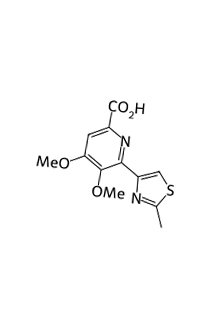 COc1cc(C(=O)O)nc(-c2csc(C)n2)c1OC